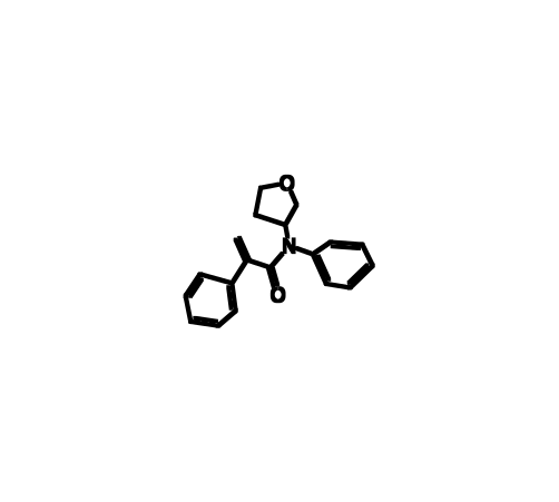 C=C(C(=O)N(c1ccccc1)C1CCOC1)c1ccccc1